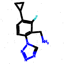 NCc1c(-n2cnnn2)ccc(C2CC2)c1F